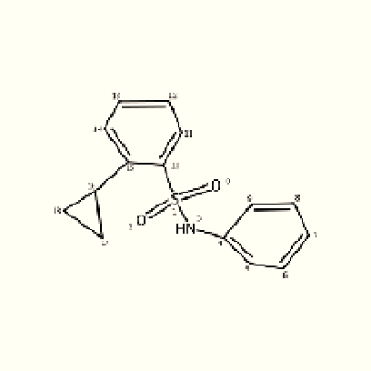 O=S(=O)(Nc1ccccc1)c1ccccc1C1CC1